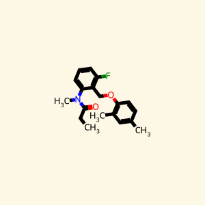 CCC(=O)N(C)c1cccc(F)c1COc1ccc(C)cc1C